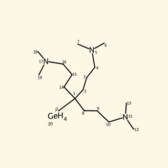 [CH2]C(CCCN(C)C)(CCCN(C)C)CCCN(C)C.[GeH4]